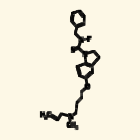 C=CCN(C)CCCCOc1ccc2c(c1)CCN2C(=S)N(F)Cc1ccccc1